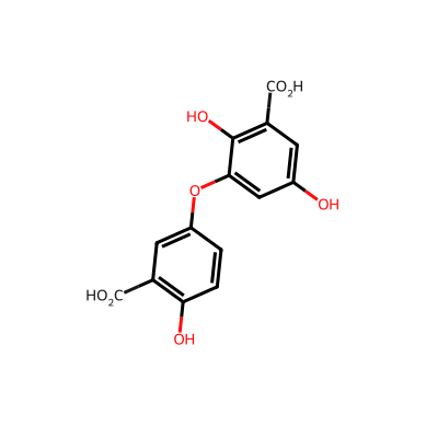 O=C(O)c1cc(Oc2cc(O)cc(C(=O)O)c2O)ccc1O